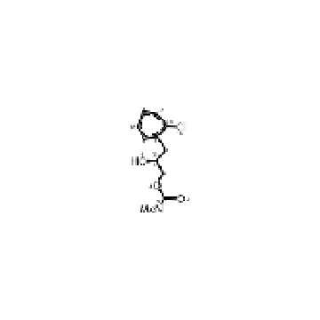 CNC(=O)OC[C@@H](O)Cc1ccccc1Cl